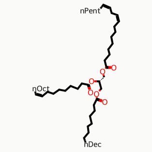 CCCCC/C=C\C/C=C\CCCCCCCC(=O)OC[C@H](COC(=O)CCCCCCCCCCCCCCCCC)OC(=O)CCCCCCC/C=C\CCCCCCCC